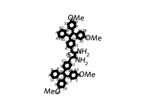 COc1ccc(C(=C(c2ccccc2)c2ccc(-c3sc(-c4ccc(C(=C(c5ccc(OC)cc5)c5ccc(OC)cc5)c5ccccc5)cc4)c(N)c3N)cc2)c2ccc(OC)cc2)cc1